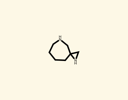 C1CCC2(CNC1)CN2